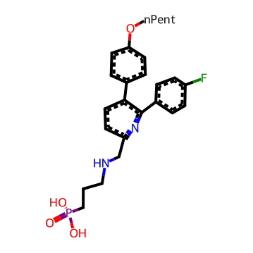 CCCCCOc1ccc(-c2ccc(CNCCCP(=O)(O)O)nc2-c2ccc(F)cc2)cc1